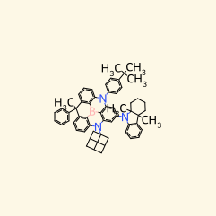 CC(C)(C)c1ccc(N2c3cc(N4c5ccccc5C5(C)CCCCC45C)cc4c3B3c5c2cccc5C(C)(c2ccccc2)c2cccc(c23)N4C23CC4CC5CC(C2)C543)cc1